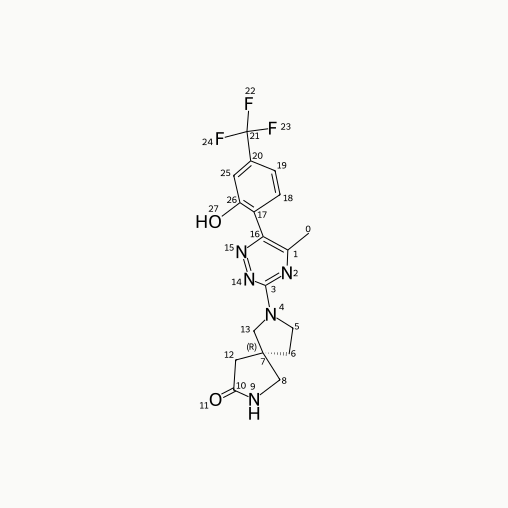 Cc1nc(N2CC[C@@]3(CNC(=O)C3)C2)nnc1-c1ccc(C(F)(F)F)cc1O